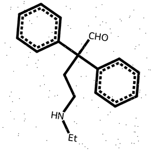 CCNCCC(C=O)(c1ccccc1)c1ccccc1